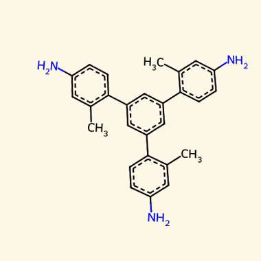 Cc1cc(N)ccc1-c1cc(-c2ccc(N)cc2C)cc(-c2ccc(N)cc2C)c1